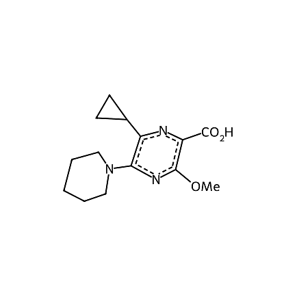 COc1nc(N2CCCCC2)c(C2CC2)nc1C(=O)O